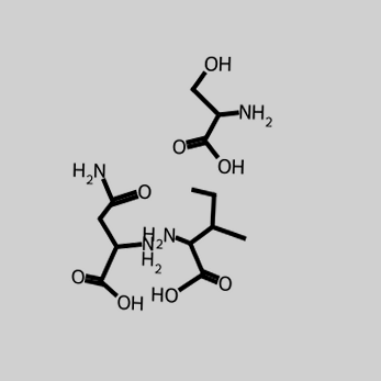 CCC(C)C(N)C(=O)O.NC(=O)CC(N)C(=O)O.NC(CO)C(=O)O